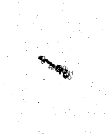 CC(C)(C)OC(=O)CCCCCNc1ccc2c(c1)CN(C1CCC(=O)NC1=O)C2=O